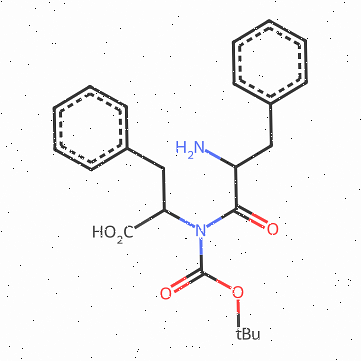 CC(C)(C)OC(=O)N(C(=O)C(N)Cc1ccccc1)C(Cc1ccccc1)C(=O)O